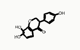 O=C1c2ccc(O)c(O)c2OCC1c1ccc(O)cc1